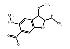 CNc1cc2c(cc1[N+](=O)[O-])NC(NC)C2NC